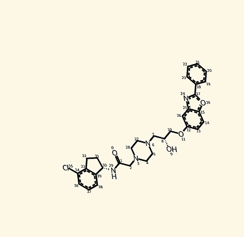 O=C(CN1CCN(C[C@@H](O)COc2ccc3oc(-c4ccccc4)nc3c2)CC1)N[C@H]1CCc2c(Cl)cccc21